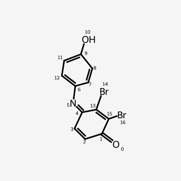 O=C1C=CC(=Nc2ccc(O)cc2)C(Br)=C1Br